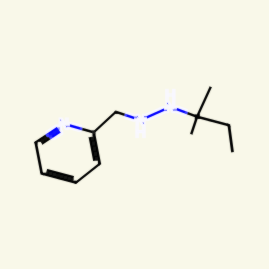 CCC(C)(C)NNCc1ccccn1